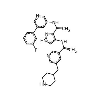 C=C(Nc1c[nH]nc1C(=C)Nc1cncc(-c2cccc(F)c2)c1)c1cncc(CC2CCNCC2)c1